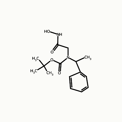 CC(c1ccccc1)N(CC(=O)NO)C(=O)OC(C)(C)C